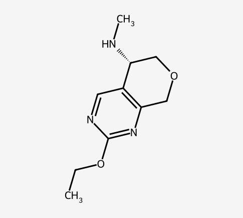 CCOc1ncc2c(n1)COC[C@H]2NC